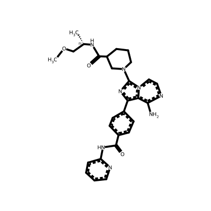 COC[C@H](C)NC(=O)C1CCCN(c2nc(-c3ccc(C(=O)Nc4ccccn4)cc3)c3c(N)nccn23)C1